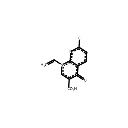 C=Cn1cc(C(=O)O)c(=O)c2ccc(Cl)nc21